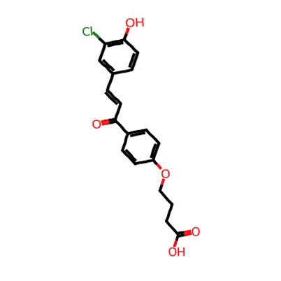 O=C(O)CCCOc1ccc(C(=O)/C=C/c2ccc(O)c(Cl)c2)cc1